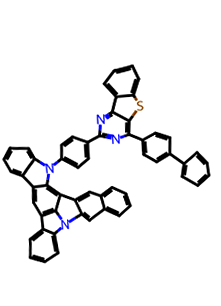 c1ccc(-c2ccc(-c3nc(-c4ccc(-n5c6ccccc6c6cc7c8ccccc8n8c9cc%10ccccc%10cc9c(c65)c78)cc4)nc4c3sc3ccccc34)cc2)cc1